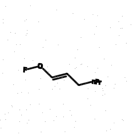 CCCCC=COF